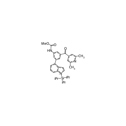 COC(=O)Nc1cc(C(=O)c2cc(C)nc(C)c2)cc(-c2cccc3c2ccn3[Si](C(C)C)(C(C)C)C(C)C)c1